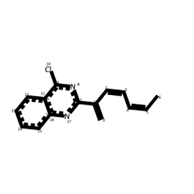 C=C(/C=C\C=C/C)c1nc(Cl)c2ccccc2n1